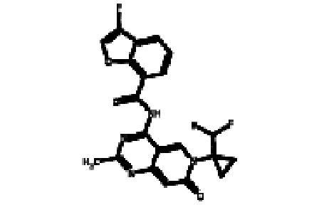 Cc1nc(NC(=O)c2cccc3c(F)coc23)c2cn(C3(C(F)F)CC3)c(=O)cc2n1